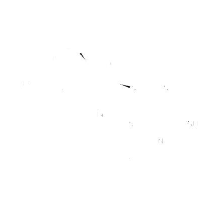 CC(=O)O[C@H]1[C@@H](Br)[C@H](n2cnc3c(N)nc(OC4CCCC4)nc32)O[C@@H]1C